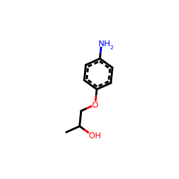 CC(O)COc1ccc(N)cc1